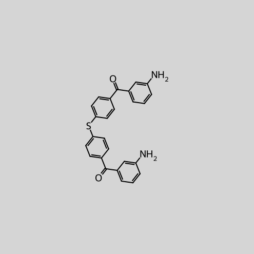 Nc1cccc(C(=O)c2ccc(Sc3ccc(C(=O)c4cccc(N)c4)cc3)cc2)c1